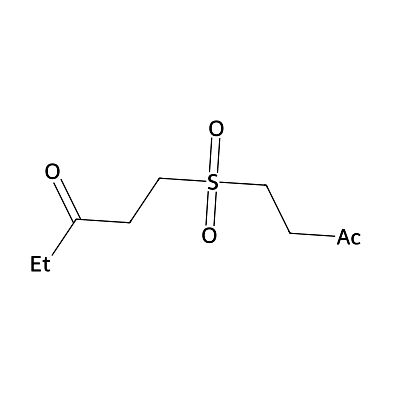 CCC(=O)CCS(=O)(=O)CCC(C)=O